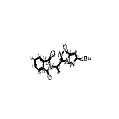 CC(c1n[nH]c2cc(C(C)(C)C)nn12)N1C(=O)c2ccccc2C1=O